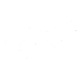 c1ccc2c(c1)ccc1c2ccc2c3ccccc3oc21